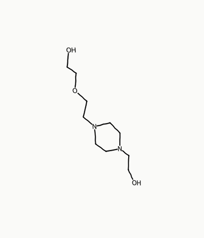 OCCOCCN1CCN(CCO)CC1